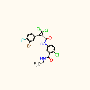 O=C(NCC(F)(F)F)c1cc(NC(=O)[C@@H]2[C@@H](c3ccc(F)c(Br)c3)C2(Cl)Cl)ccc1Cl